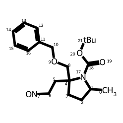 CC1CCC(CCN=O)(COCc2ccccc2)N1C(=O)OC(C)(C)C